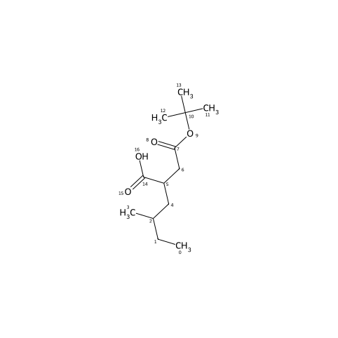 CCC(C)CC(CC(=O)OC(C)(C)C)C(=O)O